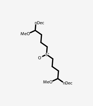 CCCCCCCCCCC(CCC[S+]([O-])CCCC(CCCCCCCCCC)OC)OC